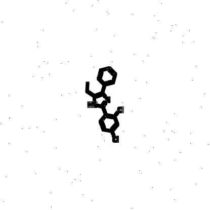 CCc1[nH]c(-c2ccc(Cl)cc2Cl)nc1-c1ccccc1